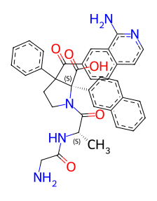 C[C@H](NC(=O)CN)C(=O)N1CCC(C(=O)c2ccc3ccnc(N)c3c2)(c2ccccc2)[C@]1(C(=O)O)c1ccc2ccccc2c1